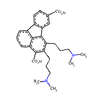 CN(C)CCCc1c(CCCN(C)C)c2c3c(cccc3c1C(=O)O)-c1ccc(C(=O)O)cc1-2